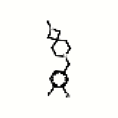 CN1CC2(CCN(Cc3ccc(F)c(Br)c3)CC2)C1